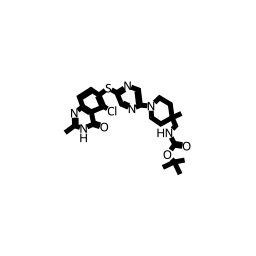 Cc1nc2ccc(Sc3cnc(N4CCC(C)(CNC(=O)OC(C)(C)C)CC4)cn3)c(Cl)c2c(=O)[nH]1